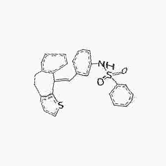 O=S(=O)(Nc1cccc(/C=C2\c3ccccc3CCc3ccsc32)c1)c1ccccc1